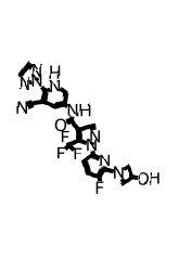 N#CC1=C(n2nccn2)NCC(NC(=O)c2cnn(-c3ccc(F)c(N4CC(O)C4)n3)c2C(F)(F)F)=C1